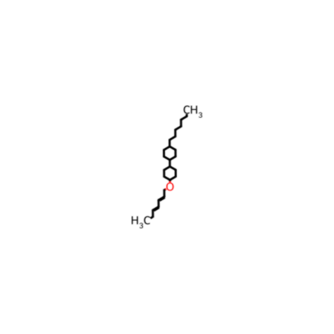 CC/C=C/C=C/COC1CCC(C2CCC(CCCCCCC)CC2)CC1